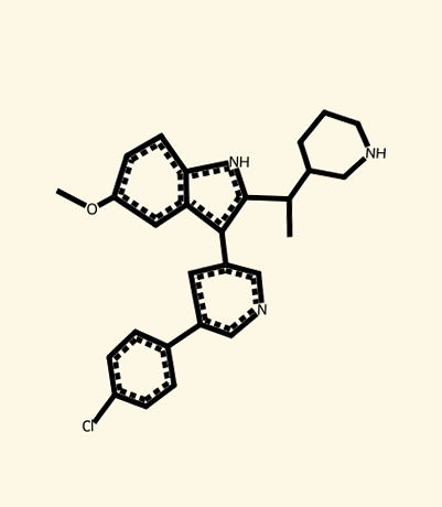 COc1ccc2[nH]c(C(C)C3CCCNC3)c(-c3cncc(-c4ccc(Cl)cc4)c3)c2c1